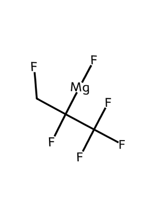 FC[C](F)([Mg][F])C(F)(F)F